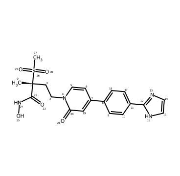 C[C@@](CCn1ccc(-c2ccc(-c3ncc[nH]3)cc2)cc1=O)(C(=O)NO)S(C)(=O)=O